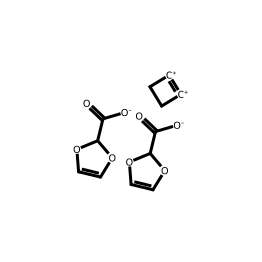 O=C([O-])C1OC=CO1.O=C([O-])C1OC=CO1.[C+]1=[C+]CC1